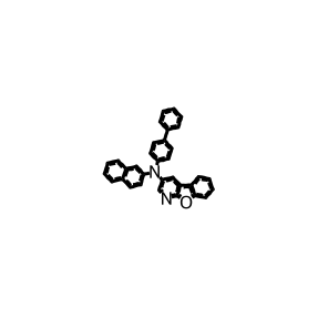 c1ccc(-c2ccc(N(c3ccc4ccccc4c3)c3cnc4oc5ccccc5c4c3)cc2)cc1